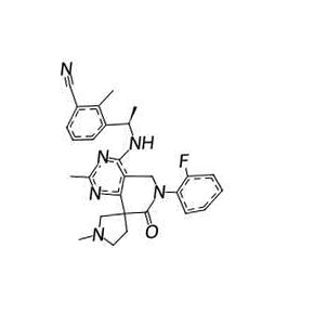 Cc1nc(N[C@H](C)c2cccc(C#N)c2C)c2c(n1)C1(CCN(C)C1)C(=O)N(c1ccccc1F)C2